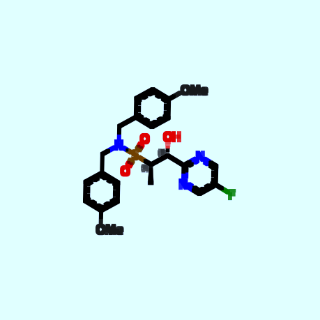 COc1ccc(CN(Cc2ccc(OC)cc2)S(=O)(=O)[C@H](C)[C@H](O)c2ncc(F)cn2)cc1